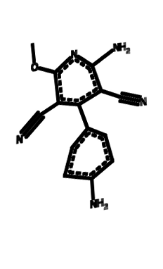 COc1nc(N)c(C#N)c(-c2ccc(N)cc2)c1C#N